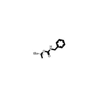 C[C@@H](OC(=O)NCc1ccccc1)C(C)(C)C